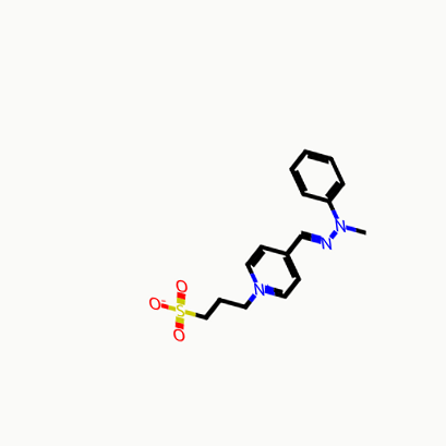 CN(/N=C/c1cc[n+](CCCS(=O)(=O)[O-])cc1)c1ccccc1